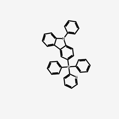 c1ccc(-n2c3ccccc3c3cc([Si](c4ccccc4)(c4ccccc4)c4ccccn4)ccc32)cc1